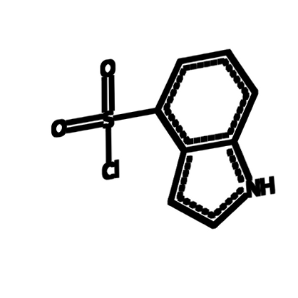 O=S(=O)(Cl)c1cccc2[nH]ccc12